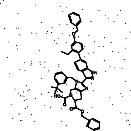 CCc1cc(OCc2ccccc2)ccc1-c1ccc2c(-c3nc4c(n3Cc3cccc(C(C)(C)C)c3)CN(C(=O)O)C(C(=O)OCc3ccccc3)C4)n[nH]c2c1